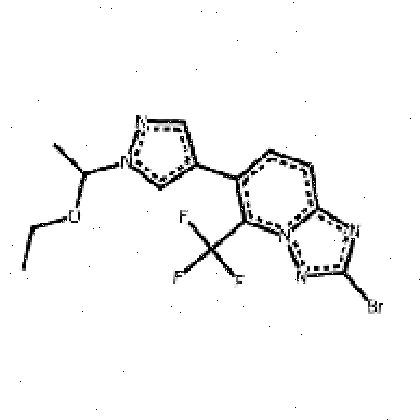 CCOC(C)n1cc(-c2ccc3nc(Br)nn3c2C(F)(F)F)cn1